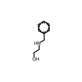 OCCNCc1c[c]ccc1